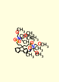 CC/C=C/C(C)(COC)N(CCOC)S(=O)(=O)CCCC1(CCCS(=O)(=O)N(CCOC)C(C)(CC)COC(C)(C)CC)c2ccccc2-c2ccccc21